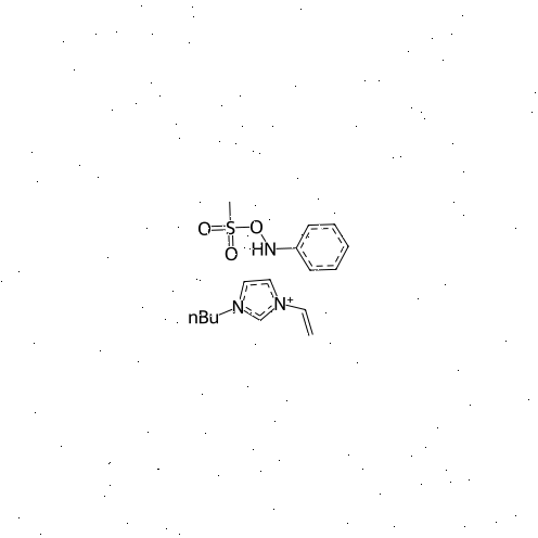 C=C[n+]1ccn(CCCC)c1.CS(=O)(=O)ONc1ccccc1